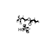 CC=CC(=O)OCC[N+](C)(C)C.CS(=O)(=O)O